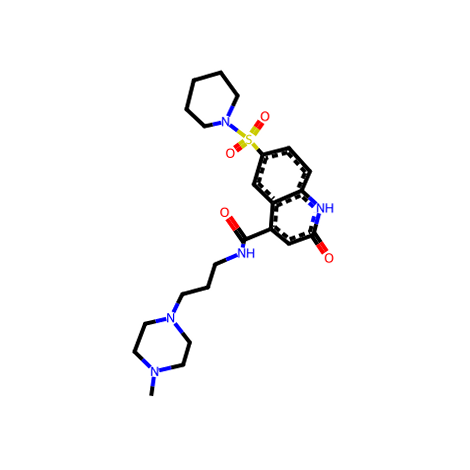 CN1CCN(CCCNC(=O)c2cc(=O)[nH]c3ccc(S(=O)(=O)N4CCCCC4)cc23)CC1